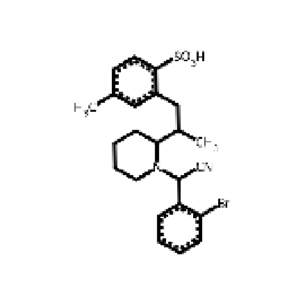 Cc1ccc(S(=O)(=O)O)c(CC(C)C2CCCCN2C(C#N)c2ccccc2Br)c1